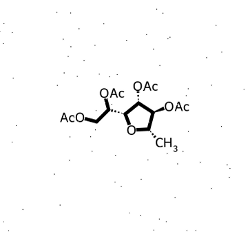 CC(=O)OCC(OC(C)=O)[C@H]1O[C@@H](C)[C@H](OC(C)=O)[C@H]1OC(C)=O